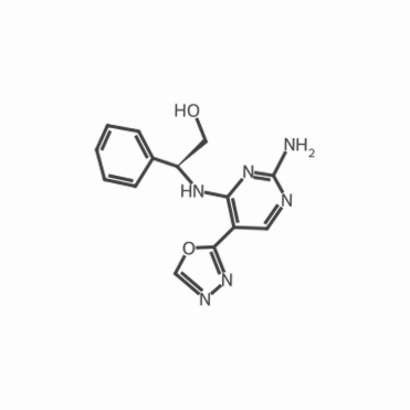 Nc1ncc(-c2nnco2)c(N[C@H](CO)c2ccccc2)n1